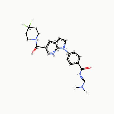 CN(C)C=NC(=O)c1ccc(-n2ccc3cc(C(=O)N4CCC(F)(F)CC4)cnc32)cc1